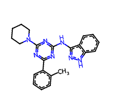 Cc1ccccc1-c1nc(Nc2n[nH]c3ccccc23)nc(N2CCCCC2)n1